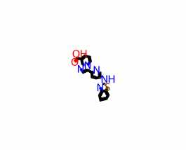 O=C(O)c1cccn2c(-c3ccc(Nc4nc5ccccc5s4)cn3)cnc12